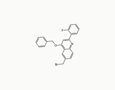 Fc1ccccc1-c1cc(OCc2ccccc2)c2cc(CBr)ccc2n1